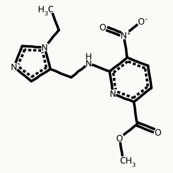 CCn1cncc1CNc1nc(C(=O)OC)ccc1[N+](=O)[O-]